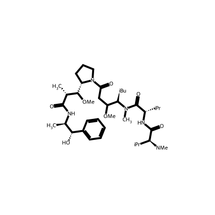 CC[C@H](C)C(C(CC(=O)N1CCC[C@H]1C(OC)[C@@H](C)C(=O)N[C@H](C)[C@@H](O)c1ccccc1)OC)N(C)C(=O)[C@@H](NC(=O)[C@@H](NC)C(C)C)C(C)C